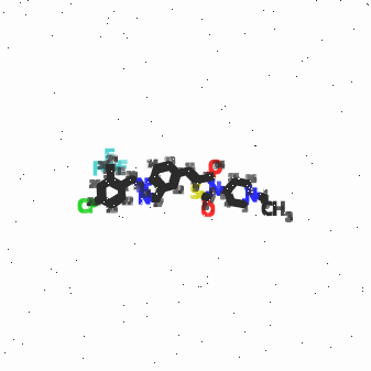 CCN1CCC(N2C(=O)SC(=Cc3ccc4c(cnn4Cc4ccc(Cl)cc4C(F)(F)F)c3)C2=O)CC1